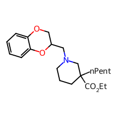 CCCCCC1(C(=O)OCC)CCCN(CC2COc3ccccc3O2)C1